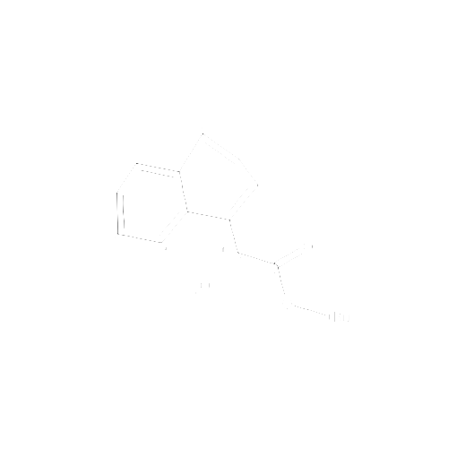 CC(C)(C)OC(=O)[C@H]([O])c1cccc2ccccc12